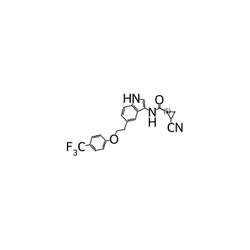 N#CC1C[C@@H]1C(=O)Nc1c[nH]c2ccc(CCOc3ccc(C(F)(F)F)cc3)cc12